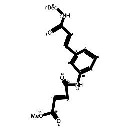 CCCCCCCCCCNC(=O)C=Cc1cccc(NC(=O)C=CC(=O)OC)c1